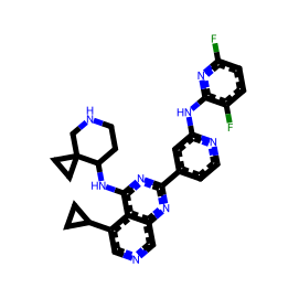 Fc1ccc(F)c(Nc2cc(-c3nc(NC4CCNCC45CC5)c4c(C5CC5)cncc4n3)ccn2)n1